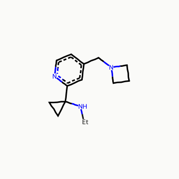 CCNC1(c2cc(CN3CCC3)ccn2)CC1